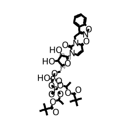 CC(OC(=O)C(C)(C)C)OP(=O)(OC(C)OC(=O)C(C)(C)C)OP(=O)(O)OC[C@H]1O[C@@H](n2ccc(=O)n(Cc3noc4ccccc34)c2=O)[C@@H](O)C1O